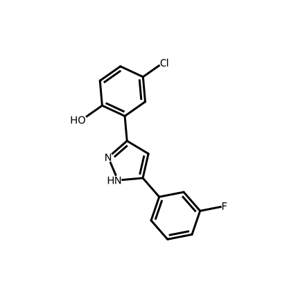 Oc1ccc(Cl)cc1-c1cc(-c2cccc(F)c2)[nH]n1